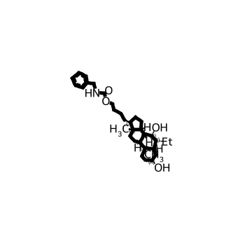 CC[C@H]1[C@@H](O)[C@@H]2[C@H](CC[C@]3(C)[C@@H](CCCCOC(=O)NCc4ccccc4)CC[C@@H]23)[C@@]2(C)CC[C@@H](O)C[C@@H]12